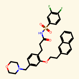 O=C(CCc1ccc(CN2CCOCC2)cc1OCCc1ccc2ccccc2c1)NS(=O)(=O)c1ccc(F)c(F)c1